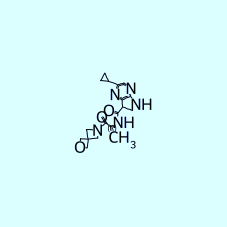 C[C@@H](NC(=O)C1CNc2ncc(C3CC3)nc21)C(=O)N1CC2(COC2)C1